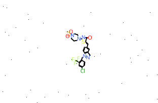 CS(=O)(=O)N1CCCN(C2=NC(=O)/C(=C/c3ccc4c(cnn4Cc4ccc(Cl)cc4C(F)(F)F)c3)S2)CC1